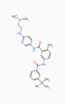 Cc1ccc(NC(=O)c2cccc(C(C)(C)C#N)c2)cc1C(=O)Nc1ccc(NCCN(C)C)nc1